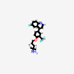 C[C@H](COc1ccc(-c2ccnc3ccc(F)cc23)cc1C(F)F)CC(C)(C)N